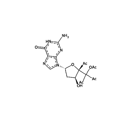 CC(=O)OC(C(C)=O)(C(C)=O)[C@@]1(C(C)=O)O[C@@H](n2cnc3c(=O)[nH]c(N)nc32)C[C@@H]1O